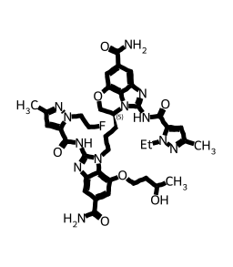 CCn1nc(C)cc1C(=O)Nc1nc2cc(C(N)=O)cc3c2n1[C@@H](CCCn1c(NC(=O)c2cc(C)nn2CCF)nc2cc(C(N)=O)cc(OCCC(C)O)c21)CO3